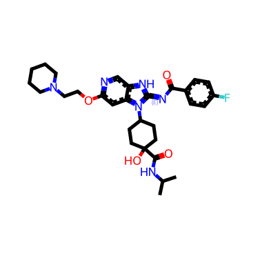 CC(C)NC(=O)C1(O)CCC(n2/c(=N/C(=O)c3ccc(F)cc3)[nH]c3cnc(OCCN4CCCCC4)cc32)CC1